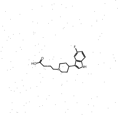 O=C(O)CCCN1CCC(c2c[nH]c3ccc(F)cc23)CC1